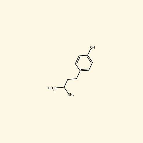 NC(CCc1ccc(O)cc1)S(=O)(=O)O